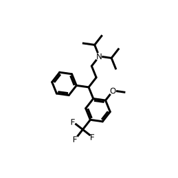 COc1ccc(C(F)(F)F)cc1C(CCN(C(C)C)C(C)C)c1ccccc1